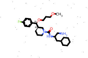 COCCCO[C@@H](c1ccc(F)cc1)[C@@H]1CCCN(C(=O)NC(CN)CC2CCCCC2)C1